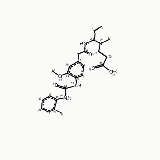 CCC(NC(=O)Cc1ccc(NC(=O)Nc2ccccc2C)c(OC)c1)N(C)CCC(=O)O